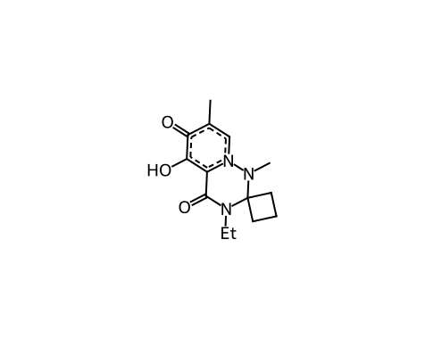 CCN1C(=O)c2c(O)c(=O)c(C)cn2N(C)C12CCC2